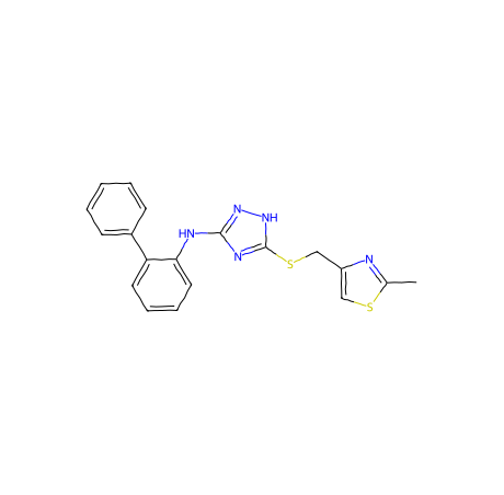 Cc1nc(CSc2nc(Nc3ccccc3-c3ccccc3)n[nH]2)cs1